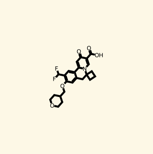 O=C(O)c1cn2c(cc1=O)-c1cc(C(F)F)c(OCC3CCOCC3)cc1CC21CCC1